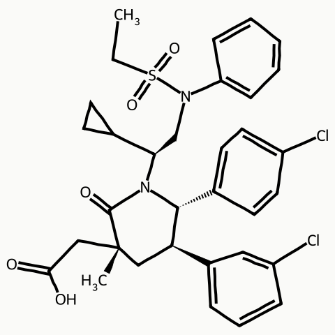 CCS(=O)(=O)N(C[C@H](C1CC1)N1C(=O)[C@@](C)(CC(=O)O)C[C@H](c2cccc(Cl)c2)[C@H]1c1ccc(Cl)cc1)c1ccccc1